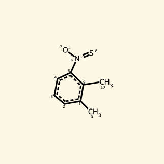 Cc1cccc([N+]([O-])=S)c1C